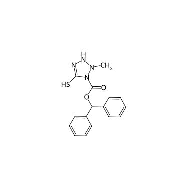 CN1NN=C(S)N1C(=O)OC(c1ccccc1)c1ccccc1